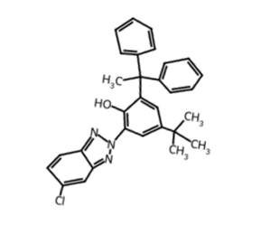 CC(C)(C)c1cc(-n2nc3ccc(Cl)cc3n2)c(O)c(C(C)(c2ccccc2)c2ccccc2)c1